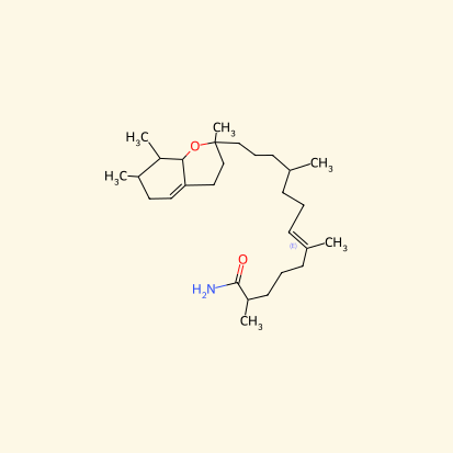 C/C(=C\CCC(C)CCCC1(C)CCC2=CCC(C)C(C)C2O1)CCCC(C)C(N)=O